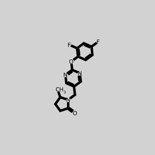 CC1CCC(=O)N1Cc1cnc(Oc2ccc(F)cc2F)nc1